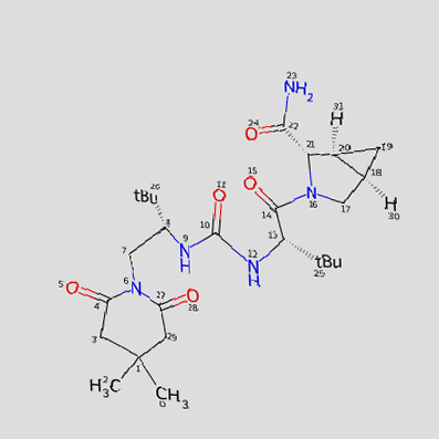 CC1(C)CC(=O)N(C[C@@H](NC(=O)N[C@H](C(=O)N2C[C@@H]3C[C@@H]3[C@H]2C(N)=O)C(C)(C)C)C(C)(C)C)C(=O)C1